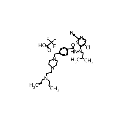 C=CCN(CC=C)CCN1CCN(Cc2ccc(C(=O)NN(CC(C)C)c3nc(C#N)ncc3Cl)cc2)CC1.O=C(O)C(F)(F)F